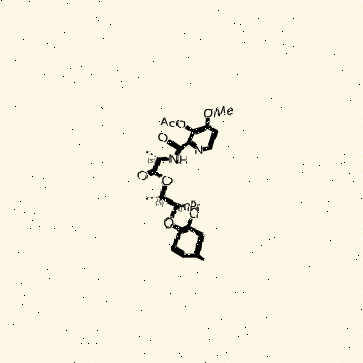 CCC[C@@H](Oc1ccc(C)cc1Cl)[C@H](C)OC(=O)[C@H](C)NC(=O)c1nccc(OC)c1OC(C)=O